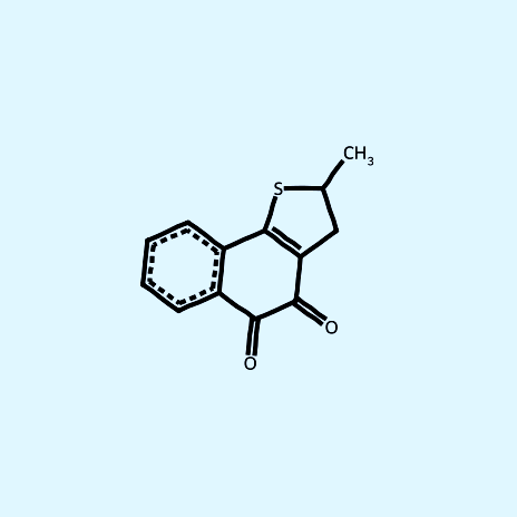 CC1CC2=C(S1)c1ccccc1C(=O)C2=O